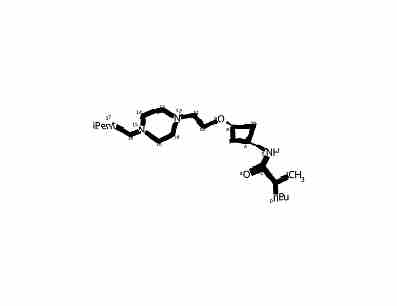 CCCCC(C)C(=O)N[C@H]1C[C@H](OCCN2CCN(CC(C)CCC)CC2)C1